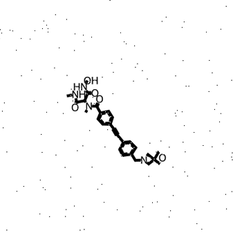 CNC(=O)C(C(=O)NO)N(C)C(=O)c1ccc(C#Cc2ccc(CN3CC4(COC4)C3)cc2)cc1